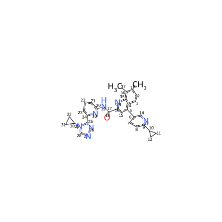 Cc1ccc2c(-c3ccc(C4CC4)nc3)cc(C(=O)Nc3cccc(-c4nncn4C4CC4)n3)nc2c1C